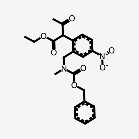 CCOC(=O)C(C(C)=O)c1ccc([N+](=O)[O-])cc1CN(C)C(=O)OCc1ccccc1